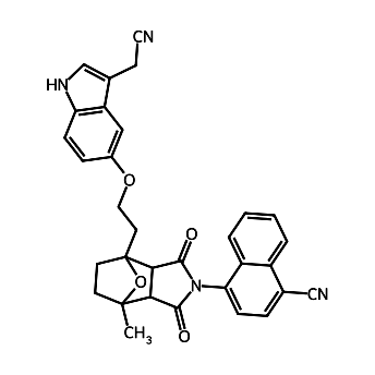 CC12CCC(CCOc3ccc4[nH]cc(CC#N)c4c3)(O1)C1C(=O)N(c3ccc(C#N)c4ccccc34)C(=O)C12